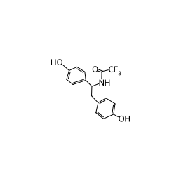 O=C(NC(Cc1ccc(O)cc1)c1ccc(O)cc1)C(F)(F)F